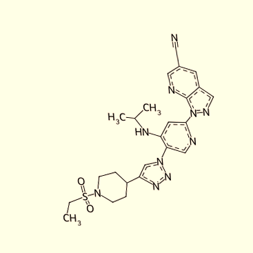 CCS(=O)(=O)N1CCC(c2cn(-c3cnc(-n4ncc5cc(C#N)cnc54)cc3NC(C)C)nn2)CC1